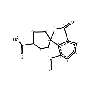 COc1cccc2c1C1(CCC(C(=O)O)CC1)OC2=O